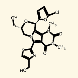 Cn1c(=O)c2c(-c3nc(CO)cs3)n3c(c2n(C)c1=O)[C@@H](c1ccc(Cl)o1)O[C@@H](CO)C3